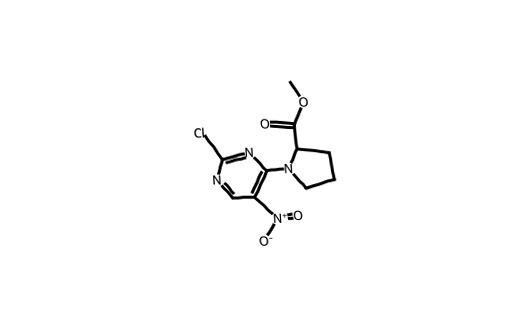 COC(=O)C1CCCN1c1nc(Cl)ncc1[N+](=O)[O-]